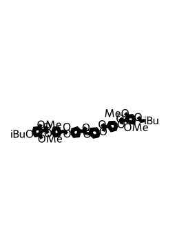 CCC(C)COc1cc(OC)c(C(=O)Oc2ccc(C(=O)Oc3ccc(OC(=O)c4ccc(OC(=O)c5ccc(OC(=O)c6c(OC)cc(OCC(C)C)cc6OC)cc5)cc4)cc3)cc2)c(OC)c1